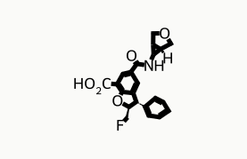 O=C(NC1C2COC[C@@H]21)c1cc(C(=O)O)c2c(c1)[C@H](c1ccccc1)[C@@H](CF)O2